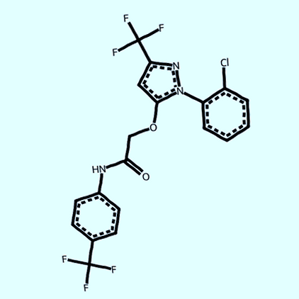 O=C(COc1cc(C(F)(F)F)nn1-c1ccccc1Cl)Nc1ccc(C(F)(F)F)cc1